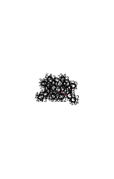 c1ccc(N(c2ccc3ccccc3c2)c2cc3c(c4c2oc2ccccc24)-c2c(cc(N(c4ccccc4)c4ccc5ccccc5c4)c4c2sc2ccccc24)C3(c2ccccc2)c2ccccc2)cc1